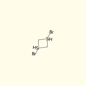 Br[SiH]1C[SiH](Br)C1